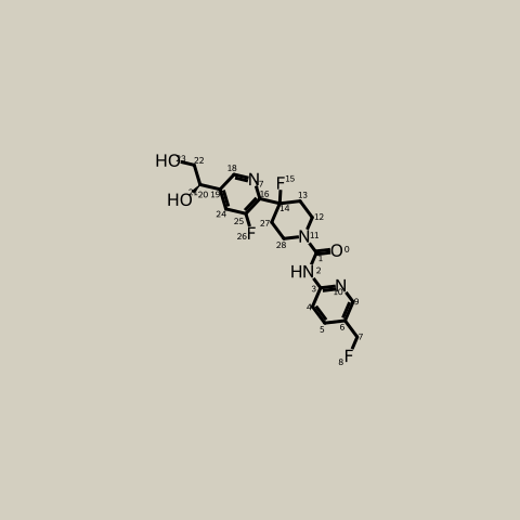 O=C(Nc1ccc(CF)cn1)N1CCC(F)(c2ncc([C@@H](O)CO)cc2F)CC1